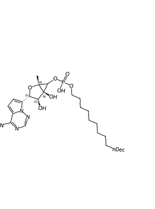 CCCCCCCCCCCCCCCCCCCOP(=O)(O)OC1[C@@]2(C)O[C@@H](c3ccc4c(N)ncnn34)[C@H](O)[C@@]12O